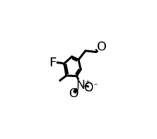 Cc1c(F)cc(CC=O)cc1[N+](=O)[O-]